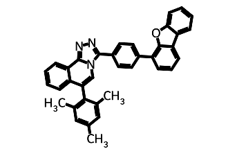 Cc1cc(C)c(-c2cn3c(-c4ccc(-c5cccc6c5oc5ccccc56)cc4)nnc3c3ccccc23)c(C)c1